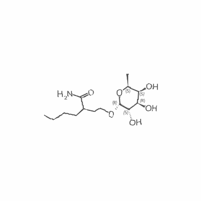 CCCCC(CCO[C@@H]1O[C@@H](C)[C@@H](O)[C@@H](O)[C@@H]1O)C(N)=O